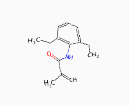 [CH]=C(C)C(=O)Nc1c(CC)cccc1CC